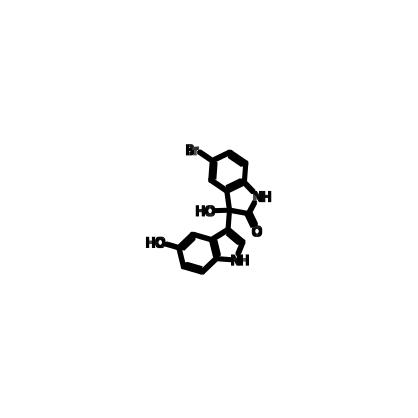 O=C1Nc2ccc(Br)cc2C1(O)c1c[nH]c2ccc(O)cc12